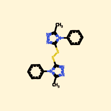 Cc1nnc(SSc2nnc(C)n2-c2ccccc2)n1-c1ccccc1